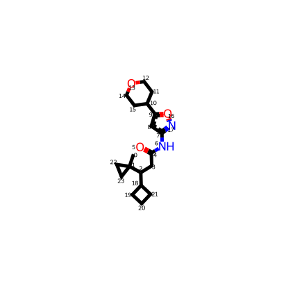 CC1(C(CC(=O)Nc2cc(C3CCOCC3)on2)C2CCC2)CC1